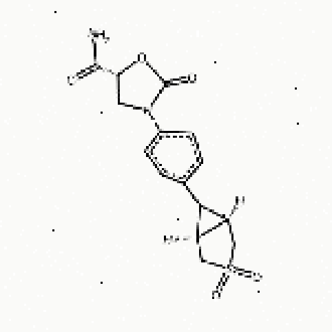 NC(=O)[C@H]1CN(c2ccc(C3[C@H]4CS(=O)(=O)C[C@@H]34)cc2)C(=O)O1